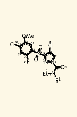 CCN(CC)C(=O)n1cc(Cl)c(S(=O)(=O)c2cc(OC)c(Cl)cc2F)n1